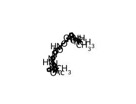 CC(=O)c1c(C)c2cnc(Nc3ccc(N4CCN(CC(=O)NCCOCCC(=O)Nc5ccccc5C(=O)Nc5nc(C)c(C)s5)CC4)cn3)nc2n(C2CCCC2)c1=O